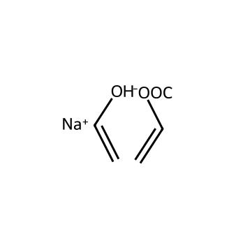 C=CC(=O)[O-].C=CO.[Na+]